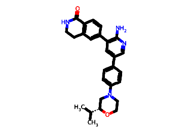 CC(C)[C@@H]1CN(c2ccc(-c3cnc(N)c(-c4ccc5c(c4)CCNC5=O)c3)cc2)CCO1